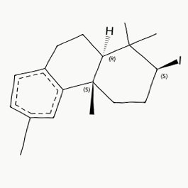 Cc1ccc2c(c1)[C@@]1(C)CC[C@H](I)C(C)(C)[C@@H]1CC2